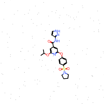 CC(C)Oc1cc(C(=O)Nc2cc[nH]n2)cc(Oc2ccc(S(=O)(=O)N3CCCC3)cc2)n1